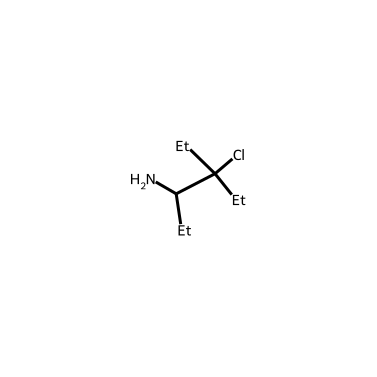 CCC(N)C(Cl)(CC)CC